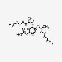 CCCCCC(C)Oc1ccc(CC(=O)O)cc1OC(C)CCCCC